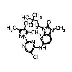 Cc1nn(-c2ncc(Cl)c(Nc3ccc4c(c3)n(CCC(C)(C)O)c(=O)n4C)n2)c(C)c1Cl